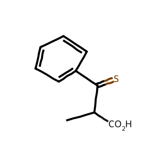 CC(C(=O)O)C(=S)c1ccccc1